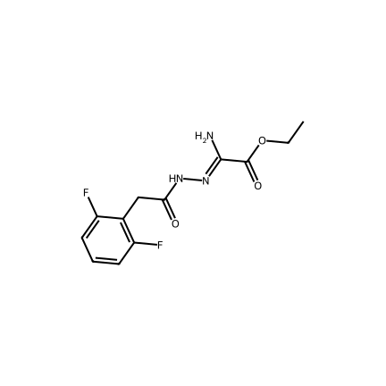 CCOC(=O)C(N)=NNC(=O)Cc1c(F)cccc1F